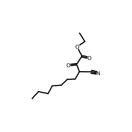 CCCCCCCC(C#N)C(=O)C(=O)OCC